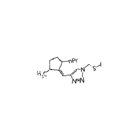 CCCC1CCC(C)/C1=C/c1cn(CSI)nn1